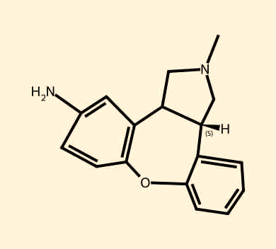 CN1CC2c3cc(N)ccc3Oc3ccccc3[C@H]2C1